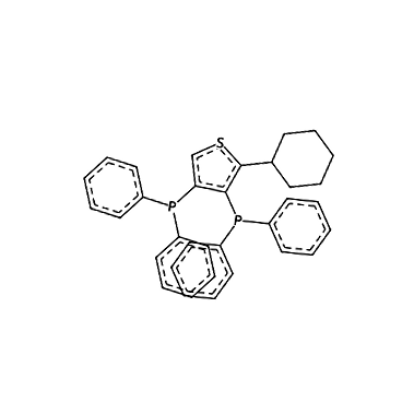 c1ccc(P(c2ccccc2)c2csc(C3CCCCC3)c2P(c2ccccc2)c2ccccc2)cc1